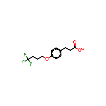 O=C(O)CCc1ccc(OCCCC(F)(F)F)cc1